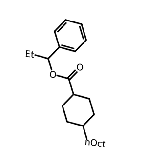 CCCCCCCCC1CCC(C(=O)OC(CC)c2ccccc2)CC1